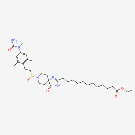 CCOC(=O)CCCCCCCCCCCC1=NC2(CCN([S+]([O-])CCc3c(C)cc(N(C)C(N)=O)cc3C)CC2)C(=O)N1